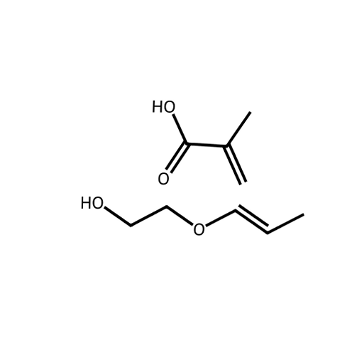 C=C(C)C(=O)O.CC=COCCO